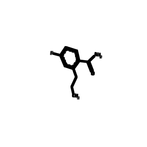 CCCc1cc(F)ccc1C(N)=O